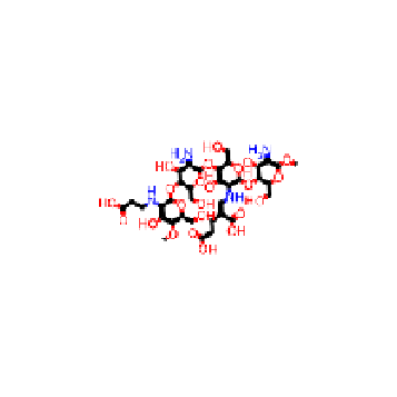 COC1OC(CO)C(OC2OC(CO)C(OC3OC(CO)C(OC4OC(CO)C(OC)C(O)C4NCCC(=O)O)C(O)C3N)C(O)C2NCC(CCC(=O)O)C(=O)O)C(O)C1N